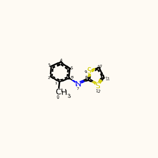 Cc1ccccc1N=c1sccs1